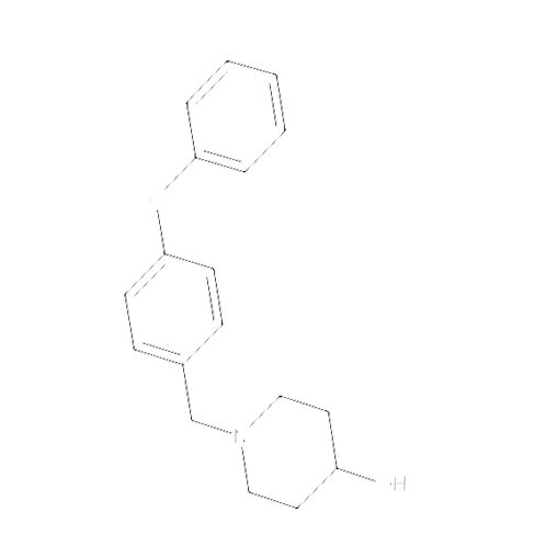 OC1CCN(Cc2ccc(Oc3ccccc3)cc2)CC1